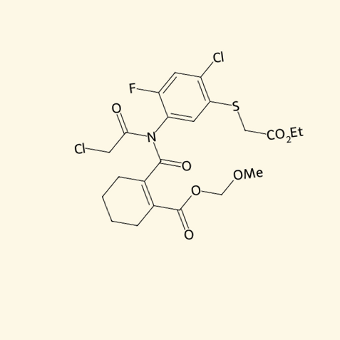 CCOC(=O)CSc1cc(N(C(=O)CCl)C(=O)C2=C(C(=O)OCOC)CCCC2)c(F)cc1Cl